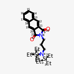 CC[Si](CC)(CC)N(CCCN1C(=O)c2cc3ccccc3cc2C1=O)[Si](CC)(CC)CC